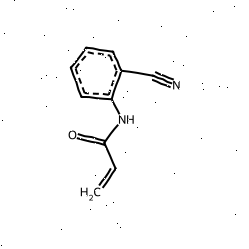 C=CC(=O)Nc1ccccc1C#N